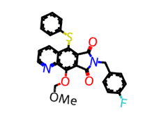 COCOc1c2c(c(Sc3ccccc3)c3cccnc13)C(=O)N(Cc1ccc(F)cc1)C2=O